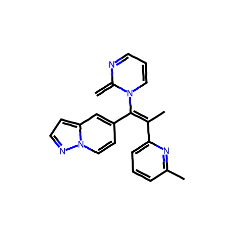 C=C1N=CC=CN1/C(=C(\C)c1cccc(C)n1)c1ccn2nccc2c1